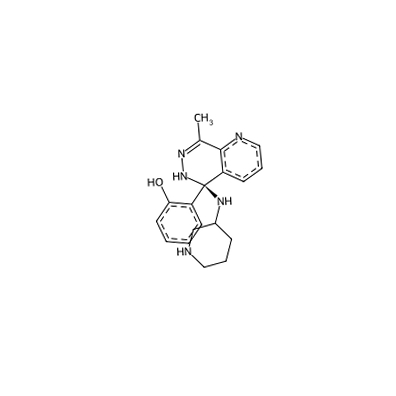 CC1=NN[C@@](NC2CCCNC2)(c2ccccc2O)c2cccnc21